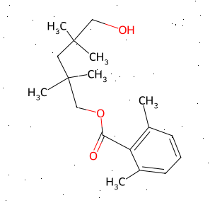 Cc1cccc(C)c1C(=O)OCC(C)(C)CC(C)(C)CO